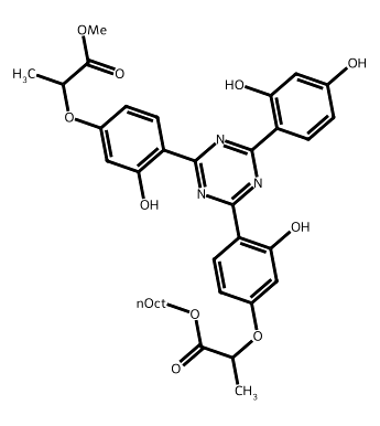 CCCCCCCCOC(=O)C(C)Oc1ccc(-c2nc(-c3ccc(O)cc3O)nc(-c3ccc(OC(C)C(=O)OC)cc3O)n2)c(O)c1